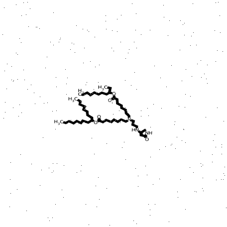 CCCCCCCCC(CC)OC(=O)CCCCCCCN(CCCCCCCC(=O)OC(CCCCCCCC)CCCCCCCC)CCCNC1=CC(=O)NC1